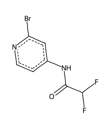 O=C(Nc1ccnc(Br)c1)C(F)F